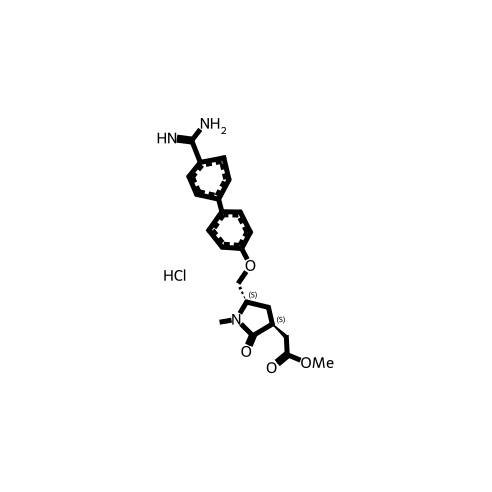 COC(=O)C[C@@H]1C[C@@H](COc2ccc(-c3ccc(C(=N)N)cc3)cc2)N(C)C1=O.Cl